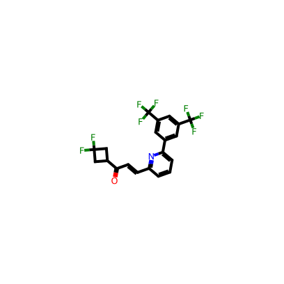 O=C(C=Cc1cccc(-c2cc(C(F)(F)F)cc(C(F)(F)F)c2)n1)C1CC(F)(F)C1